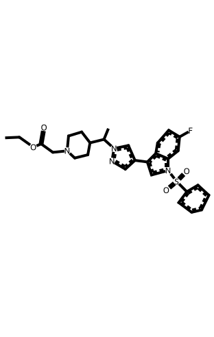 CCOC(=O)CN1CCC(C(C)n2cc(-c3cn(S(=O)(=O)c4ccccc4)c4cc(F)ccc34)cn2)CC1